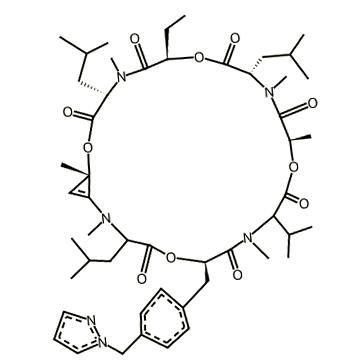 CC[C@H]1OC(=O)[C@H](CC(C)C)N(C)C(=O)[C@@H](C)OC(=O)C(C(C)C)N(C)C(=O)[C@@H](Cc2ccc(Cn3cccn3)cc2)OC(=O)C(CC(C)C)N(C)C2=C[C@]2(C)OC(=O)[C@H](CC(C)C)N(C)C1=O